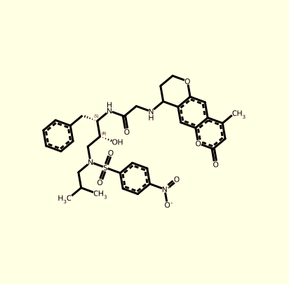 Cc1cc(=O)oc2cc3c(cc12)OCCC3NCC(=O)N[C@@H](Cc1ccccc1)[C@H](O)CN(CC(C)C)S(=O)(=O)c1ccc([N+](=O)[O-])cc1